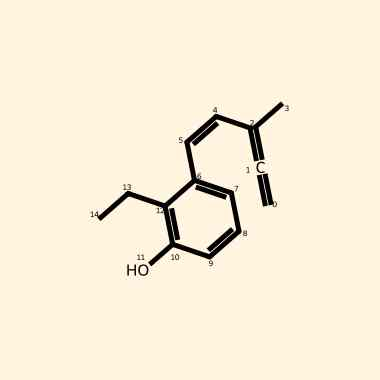 C=C=C(C)/C=C\c1cccc(O)c1CC